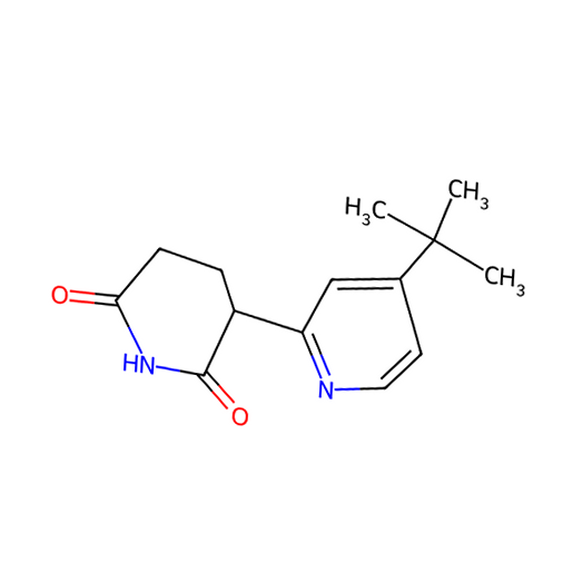 CC(C)(C)c1ccnc(C2CCC(=O)NC2=O)c1